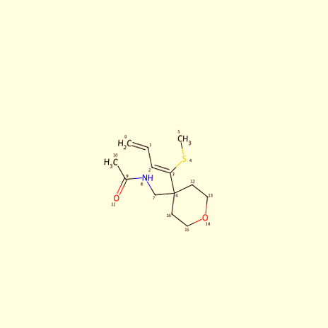 C=C/C=C(\SC)C1(CNC(C)=O)CCOCC1